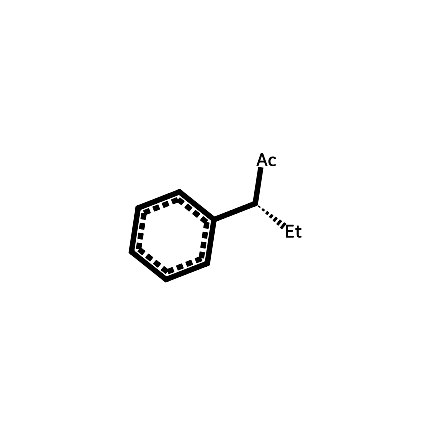 CC[C@@H](C(C)=O)c1ccccc1